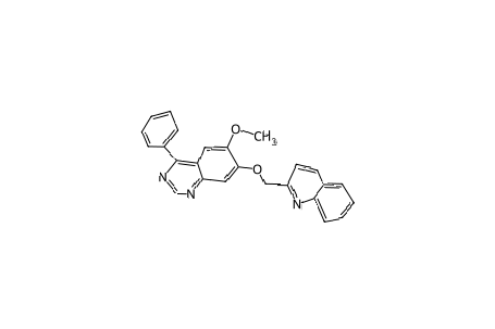 COc1cc2c(-c3ccccc3)ncnc2cc1OCc1ccc2ccccc2n1